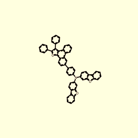 c1ccc(-c2oc3c4ccc(-c5ccc(N(c6ccc7c(c6)oc6ccccc67)c6ccc7c(c6)oc6ccccc67)cc5)cc4c4ccccc4c3c2-c2ccccc2)cc1